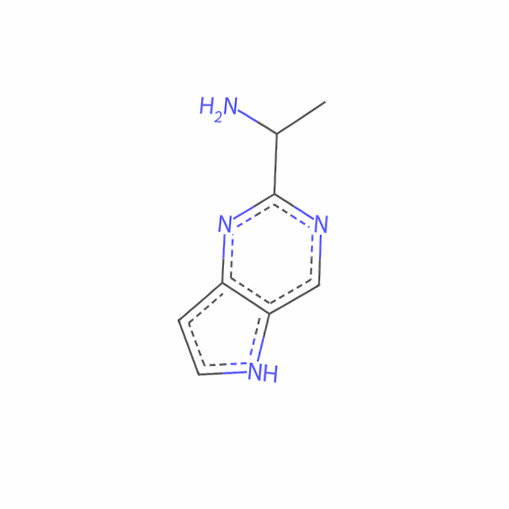 CC(N)c1ncc2[nH]ccc2n1